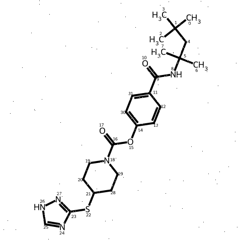 CC(C)(C)CC(C)(C)NC(=O)c1ccc(OC(=O)N2CCC(Sc3nc[nH]n3)CC2)cc1